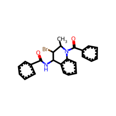 CC1C(Br)C(NC(=O)c2ccccc2)c2ccccc2N1C(=O)c1ccccc1